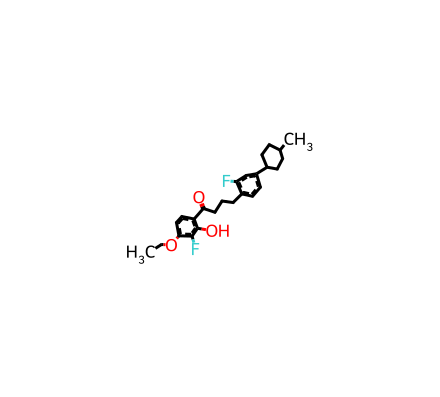 CCOc1ccc(C(=O)CCCc2ccc(C3CCC(C)CC3)cc2F)c(O)c1F